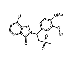 CCOc1cc([C@@H](CS(C)(=O)=O)n2sc3c(Cl)cccc3c2=O)ccc1OC